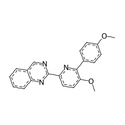 COc1ccc(-c2nc(-c3ncc4ccccc4n3)ccc2OC)cc1